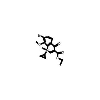 CCOC(=O)C1=C[N+]([O-])(C2CC2)c2c(ccc(Br)c2OC)C1=O